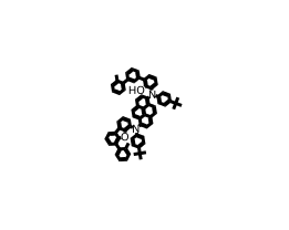 Cc1ccccc1-c1cccc(-c2cccc(N(c3ccc(C(C)(C)C)cc3)c3ccc4ccc5c(N(c6ccc(C(C)(C)C)cc6)c6cccc7c6oc6c(-c8ccccc8C)cccc67)ccc6ccc3c4c65)c2O)c1